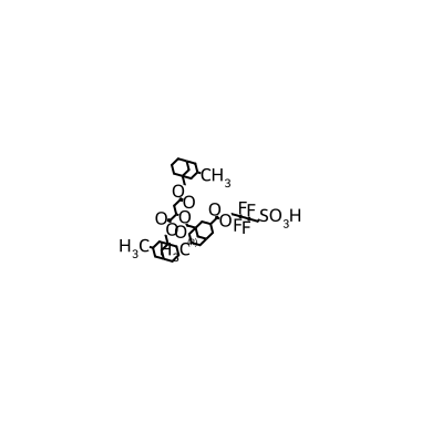 CC1CC2CCCC(COC(=O)CC(OC(=O)C34CC(CC(C(=O)OCC(F)(F)C(F)(F)CS(=O)(=O)O)C3)C[C@@H](C)C4)C(=O)OCC34CCCC(CC(C)C3)C4)(C1)C2